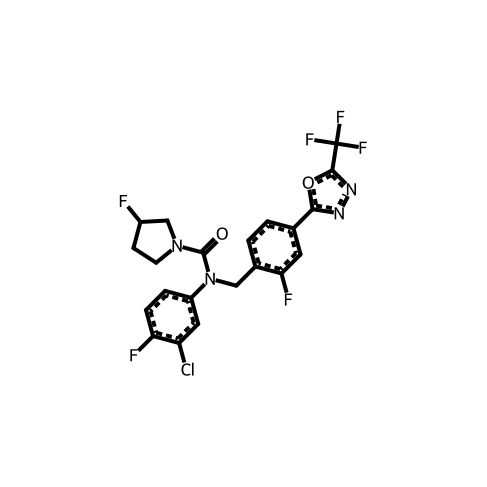 O=C(N1CCC(F)C1)N(Cc1ccc(-c2nnc(C(F)(F)F)o2)cc1F)c1ccc(F)c(Cl)c1